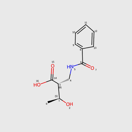 C[C@H](O)[C@@H](CNC(=O)c1ccccc1)C(=O)O